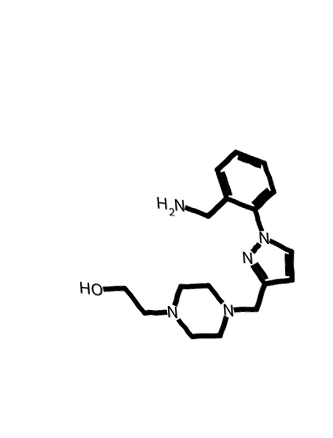 NCc1ccccc1-n1ccc(CN2CCN(CCO)CC2)n1